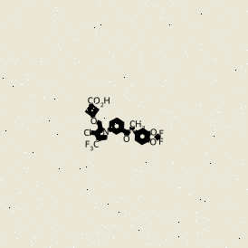 CN(C(=O)c1cccc(-n2cc(C(F)(F)F)c(Cl)c2COC2CC(C(=O)O)C2)c1)c1ccc2c(c1)OC(F)(F)O2